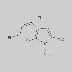 CCc1ccc2cc(CC)[s+](C(F)(F)F)c2c1.[Cl-]